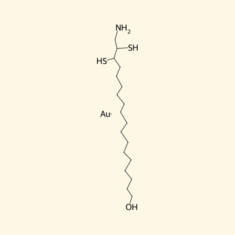 NCC(S)C(S)CCCCCCCCCCCCCCCO.[Au]